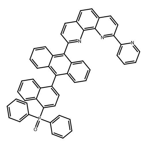 O=P(c1ccccc1)(c1ccccc1)c1ccc(-c2c3ccccc3c(-c3ccc4ccc5ccc(-c6ccccn6)nc5c4n3)c3ccccc23)c2ccccc12